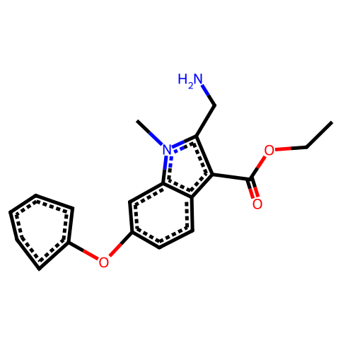 CCOC(=O)c1c(CN)n(C)c2cc(Oc3ccccc3)ccc12